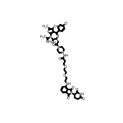 CC(=N)N1C(=N)[C@H](CC(=O)N2CCN(NC(=O)CCOCCOCCNc3cccc4c3C(=O)N(C3CCC(=O)NC3=O)C4=O)CC2)N=C(c2ccc(Cl)cc2)c2c1sc(C)c2C